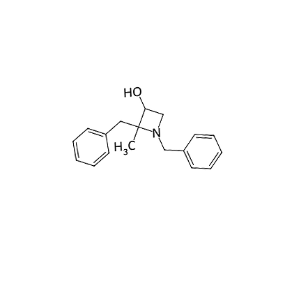 CC1(Cc2ccccc2)C(O)CN1Cc1ccccc1